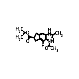 CC(=O)Nc1cc2c(c(F)c1NC(C)=O)CC(C(=O)OC(C)C)C2